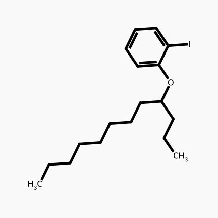 CCCCCCCCC(CCC)Oc1ccccc1I